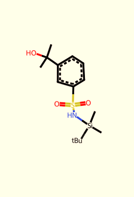 CC(C)(O)c1cccc(S(=O)(=O)N[Si](C)(C)C(C)(C)C)c1